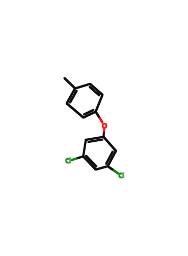 Cc1ccc(Oc2cc(Cl)cc(Cl)c2)cc1